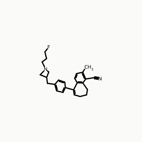 Cc1ccc2c(c1C#N)CCCC=C2c1ccc(CC2CN(CCCF)C2)cc1